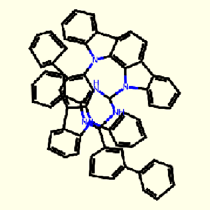 c1ccc(-c2cccc(C3=NC(c4ccccc4)NC(n4c5ccccc5c5ccc6c7ccccc7n(-c7cc8c(cc7-c7ccccc7)c7ccccc7n8-c7ccccc7)c6c54)N3)c2)cc1